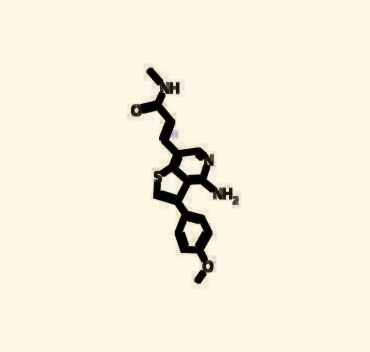 CNC(=O)/C=C/c1cnc(N)c2c(-c3ccc(OC)cc3)csc12